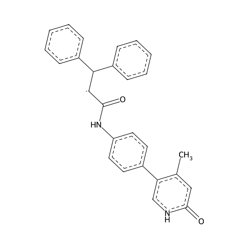 Cc1cc(=O)[nH]cc1-c1ccc(NC(=O)[CH]C(c2ccccc2)c2ccccc2)cc1